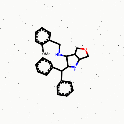 COc1ccccc1CNC1C2COCC2NC1C(c1ccccc1)c1ccccc1